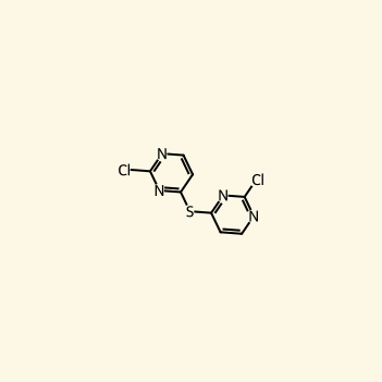 Clc1nccc(Sc2ccnc(Cl)n2)n1